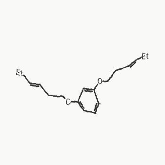 CCC=CCCOc1[c]ccc(OCCC=CCC)c1